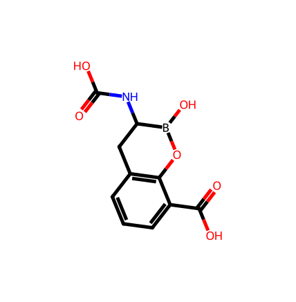 O=C(O)NC1Cc2cccc(C(=O)O)c2OB1O